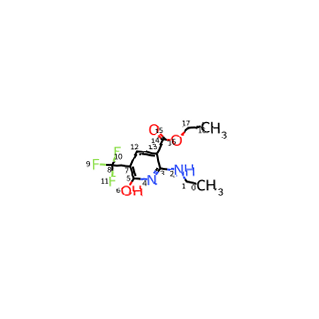 CCNc1nc(O)c(C(F)(F)F)cc1C(=O)OCC